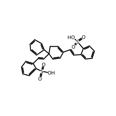 O=S(=O)(O)c1ccccc1C=CC1=CCC(C=Cc2ccccc2S(=O)(=O)O)(c2ccccc2)C=C1